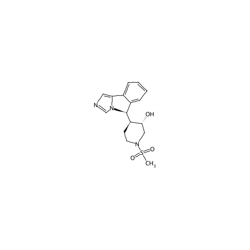 CS(=O)(=O)N1CC[C@@H]([C@@H]2c3ccccc3-c3cncn32)[C@H](O)C1